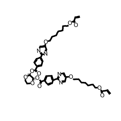 C=CC(=O)OCCCCCCCOc1cnc(-c2ccc(C(=O)O[C@@H]3OCCO[C@H]3OC(=O)c3ccc(-c4ncc(OCCCCCCCOC(=O)C=C)cn4)cc3)cc2)nc1